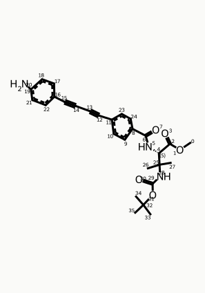 COC(=O)[C@@H](NC(=O)c1ccc(C#CC#Cc2ccc(N)cc2)cc1)C(C)(C)NC(=O)OC(C)(C)C